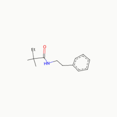 CCC(C)(C)C(=O)NCCc1ccccc1